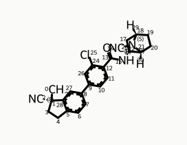 C[C@]1(C#N)CCc2ccc(-c3ccc(C(=O)N[C@@H]4C[C@@H]5CC[C@H]4N5C#N)c(Cl)c3)cc21